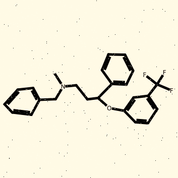 CN(CCC(Oc1cccc(C(F)(F)F)c1)c1ccccc1)Cc1ccccc1